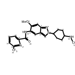 COc1cc2nn(C3CCC(NC(=O)O)CC3)cc2cc1NC(=O)c1cccc(C(F)(F)F)n1